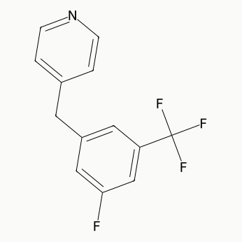 Fc1cc(Cc2ccncc2)cc(C(F)(F)F)c1